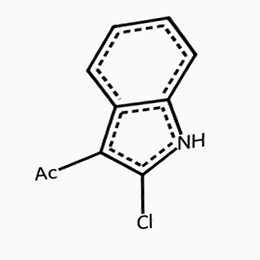 CC(=O)c1c(Cl)[nH]c2ccccc12